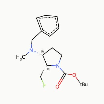 CN(Cc1ccccc1)[C@@H]1CCN(C(=O)OC(C)(C)C)[C@@H]1CF